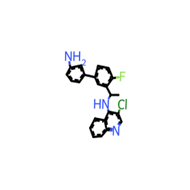 CC(Nc1c(Cl)cnc2ccccc12)c1cc(-c2cccc(N)c2)ccc1F